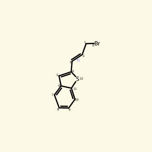 BrC/C=C/c1cc2ccccc2s1